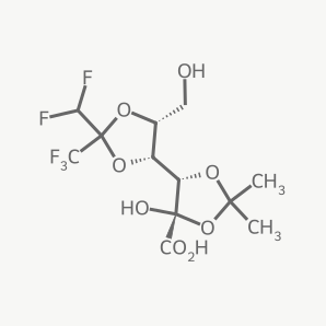 CC1(C)O[C@@H]([C@@H]2OC(C(F)F)(C(F)(F)F)O[C@@H]2CO)[C@](O)(C(=O)O)O1